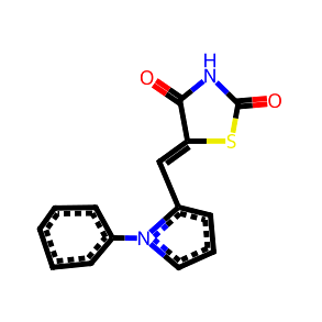 O=C1NC(=O)C(=Cc2cccn2-c2ccccc2)S1